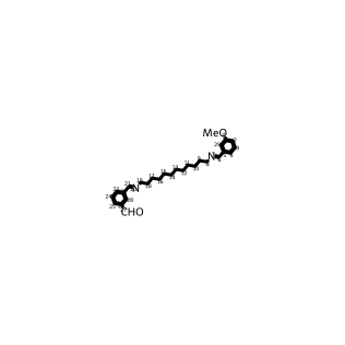 COc1cccc(C=NCCCCCCCCCCCCN=Cc2cccc(C=O)c2)c1